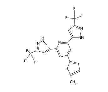 Cc1ccc(-c2cc(-c3cc(C(F)(F)F)n[nH]3)nc(-c3cc(C(F)(F)F)n[nH]3)c2)s1